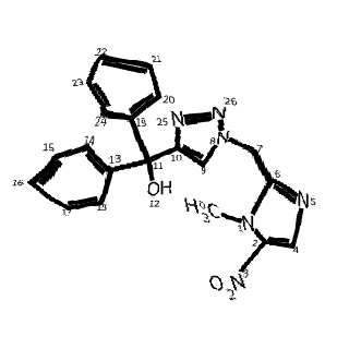 Cn1c([N+](=O)[O-])cnc1Cn1cc(C(O)(c2ccccc2)c2ccccc2)nn1